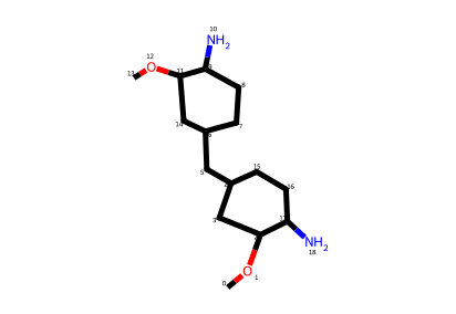 COC1CC(CC2CCC(N)C(OC)C2)CCC1N